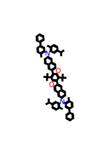 Cc1ccc(-c2ccccc2)cc1N(c1ccc2cc3c(cc2c1)oc1c(C(C)(C)C)c2c(oc4cc5cc(N(c6cc(-c7ccccc7)ccc6C)c6cc(C(C)C)ccc6C)ccc5cc42)c(C(C)(C)C)c13)c1cc(C(C)C)ccc1C